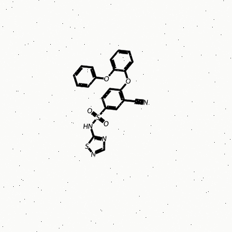 N#Cc1cc(S(=O)(=O)Nc2ncns2)ccc1Oc1ccccc1Oc1ccccc1